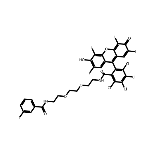 O=C(NCCOCCOCCNC(=O)c1c(Cl)c(Cl)c(Cl)c(Cl)c1-c1c2cc(I)c(=O)c(I)c-2oc2c(I)c(O)c(I)cc12)c1cccc(I)c1